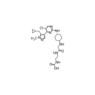 Cn1ncc(-c2nc(N[C@H]3CC[C@H](NCC(=O)NCCNC(=O)O)CC3)ncc2Cl)c1CC1CC1